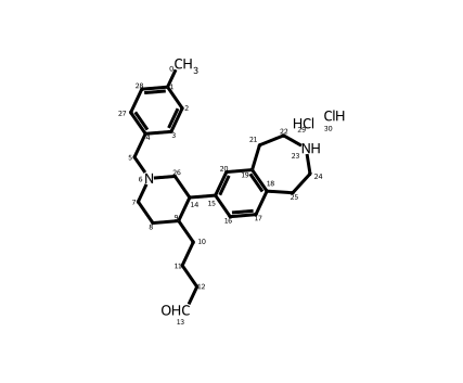 Cc1ccc(CN2CCC(CCCC=O)C(c3ccc4c(c3)CCNCC4)C2)cc1.Cl.Cl